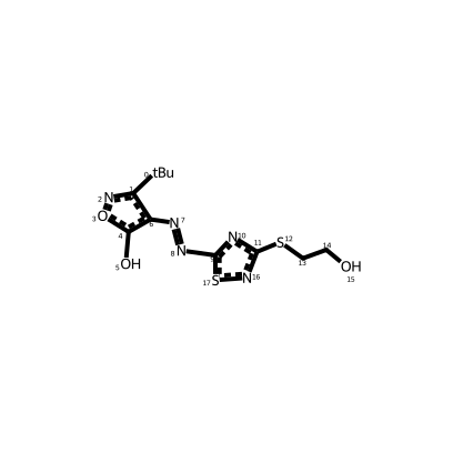 CC(C)(C)c1noc(O)c1N=Nc1nc(SCCO)ns1